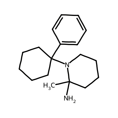 CC1(N)CCCCN1C1(c2ccccc2)CCCCC1